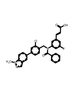 Cn1ncc2cc(-c3ccc(CN(C(=O)c4ccccc4)c4cc(F)cc(C=CC(=O)O)c4)c(Cl)c3)ccc21